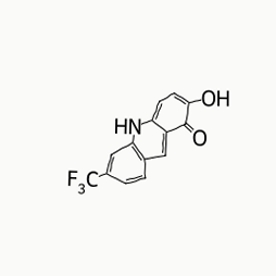 O=c1c(O)ccc2[nH]c3cc(C(F)(F)F)ccc3cc1-2